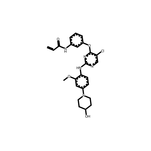 C=CC(=O)Nc1cccc(Oc2nc(Nc3ccc(N4CCC(O)CC4)cc3OC)ncc2Cl)c1